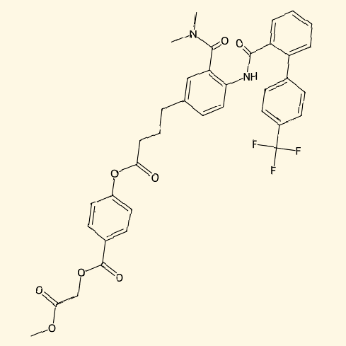 COC(=O)COC(=O)c1ccc(OC(=O)CCCc2ccc(NC(=O)c3ccccc3-c3ccc(C(F)(F)F)cc3)c(C(=O)N(C)C)c2)cc1